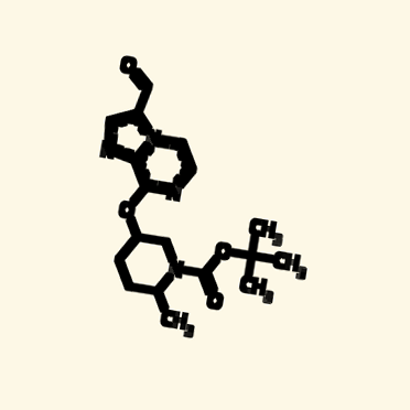 CC1CCC(Oc2nccn3c(C=O)cnc23)CN1C(=O)OC(C)(C)C